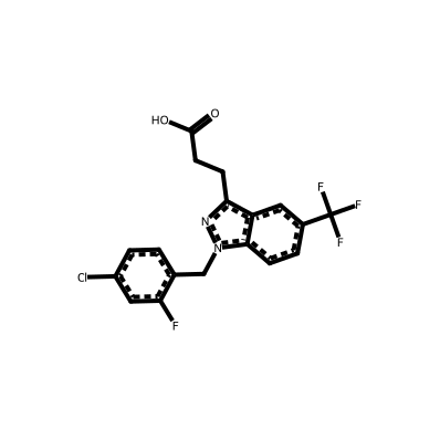 O=C(O)CCc1nn(Cc2ccc(Cl)cc2F)c2ccc(C(F)(F)F)cc12